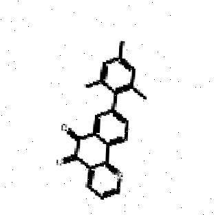 Cc1cc(C)c(-c2ccc3c(c2)C(=O)C(=O)c2cccnc2-3)c(C)c1